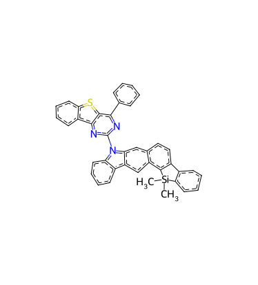 C[Si]1(C)c2ccccc2-c2ccc3cc4c(cc3c21)c1ccccc1n4-c1nc(-c2ccccc2)c2sc3ccccc3c2n1